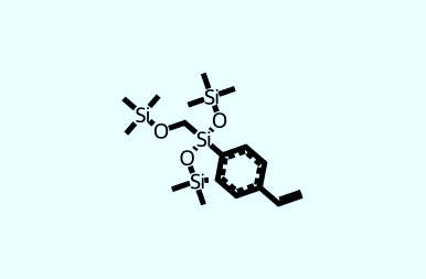 C=Cc1ccc([Si](CO[Si](C)(C)C)(O[Si](C)(C)C)O[Si](C)(C)C)cc1